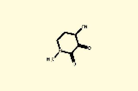 CN1CCC(C#N)C(=O)C1=O